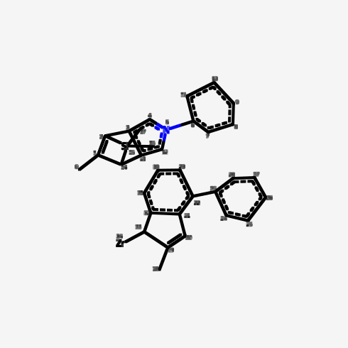 CC1=C2c3cn(-c4ccccc4)cc3C1[Si]2(C)C.CC1=Cc2c(-c3ccccc3)cccc2[CH]1[Zr]